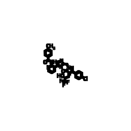 Cc1ccc(C(=O)Nc2ncccc2-n2cnc(Cn3nc(-c4ccc(Cl)cc4)n(C[C@H](O)C(F)(F)F)c3=O)n2)cc1